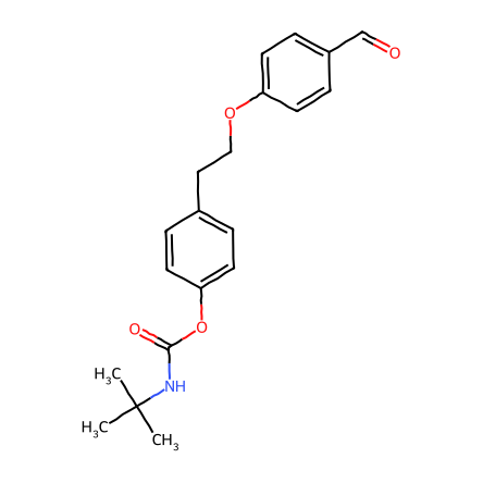 CC(C)(C)NC(=O)Oc1ccc(CCOc2ccc(C=O)cc2)cc1